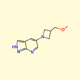 COCC1CN(c2cnc3n[nH]cc3c2)C1